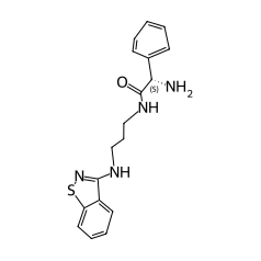 N[C@H](C(=O)NCCCNc1nsc2ccccc12)c1ccccc1